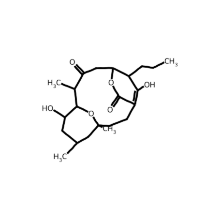 CCCC1C(O)=C2CCC3(C)CC(C)CC(O)C(O3)C(C)C(=O)CC1OC2=O